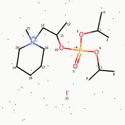 CC(C)OP(=O)(OC(C)C)OC(C)C[N+]1(C)CCCCC1.[I-]